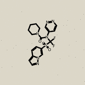 O=C(N1CCCCC1)N(c1ccnnc1)C(F)(F)S(=O)(=O)c1ccc2ccnn2c1